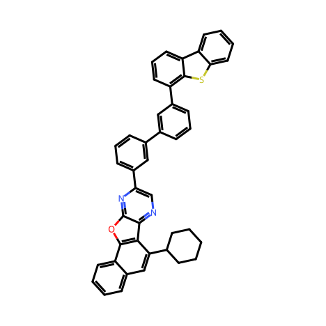 c1cc(-c2cccc(-c3cccc4c3sc3ccccc34)c2)cc(-c2cnc3c(n2)oc2c4ccccc4cc(C4CCCCC4)c32)c1